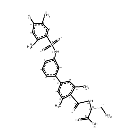 Cc1cc(S(=O)(=O)Nc2cccc(-c3cc(C)c(C(=O)N[C@H](CN)C(=O)O)c(C)c3)c2)c(C)cc1Cl